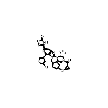 CC1CCC(Cn2c(N3CCN(C(=O)C4CC4)C[C@H]3C)nc3cc(-c4noc(=O)[nH]4)nc(-c4cncc(Cl)c4)c32)CC1